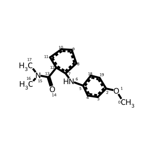 COc1ccc(Nc2ccccc2C(=O)N(C)C)cc1